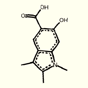 Cc1c(C)n(C)c2cc(O)c(C(=O)O)cc12